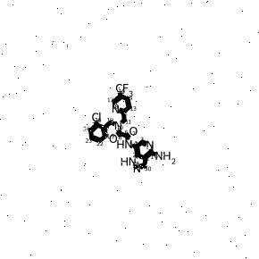 Nc1ncc(NC(=O)C(=O)N(Cc2ccc(C(F)(F)F)cn2)Cc2ccccc2Cl)c2[nH]ncc12